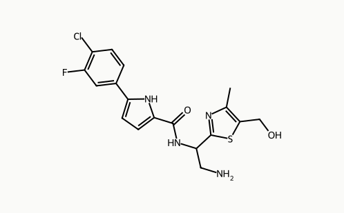 Cc1nc(C(CN)NC(=O)c2ccc(-c3ccc(Cl)c(F)c3)[nH]2)sc1CO